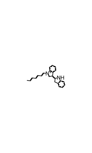 CC=CC=CC=C[N+]1=CC(=C2Cc3ccccc3N2)c2ccccc21